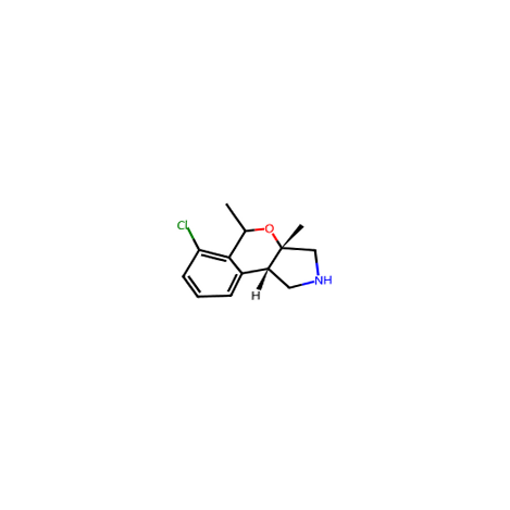 CC1O[C@]2(C)CNC[C@@H]2c2cccc(Cl)c21